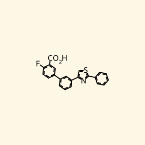 O=C(O)c1cc(-c2cccc(-c3csc(-c4ccccc4)n3)c2)ccc1F